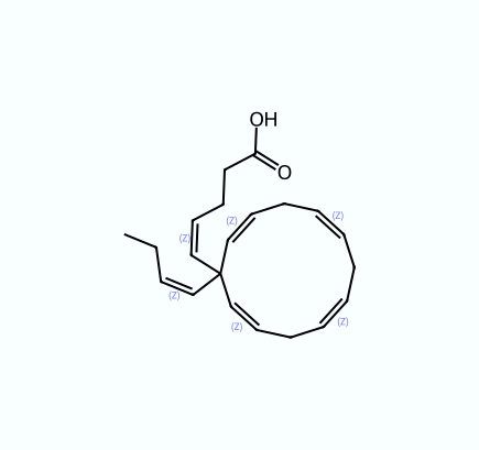 CC/C=C\C1(/C=C\CCC(=O)O)/C=C\C/C=C\C/C=C\C/C=C\1